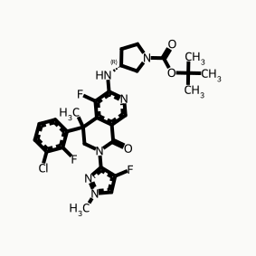 Cn1cc(F)c(N2CC(C)(c3cccc(Cl)c3F)c3c(cnc(N[C@@H]4CCN(C(=O)OC(C)(C)C)C4)c3F)C2=O)n1